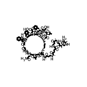 CC(=O)N[C@@H](CC(C)C)C(=O)N[C@H](C(=O)N[C@@H](Cc1ccccc1)C(=O)N[C@]1(C)CCCCCC/C=C/CCC[C@@](C)(C(=O)CN[C@@H](C)C(=O)CCN[C@@H](C)C(=O)CCC(=O)[C@H](C)NCCC(=O)[C@H](C)NCCC(=O)[C@H](C)NCN[C@H](C)C(N)=O)NC(=O)[C@H](CC(C)C)NC(=O)[C@H](CCC(N)=O)NCN[C@@H](C)C(=O)CC(=O)[C@H](Cc2c[nH]c3ccccc23)NN[C@@H](Cc2ccc(O)cc2)C(=O)C(=O)[C@H](CCC(=O)O)NC1=O)[C@@H](C)O